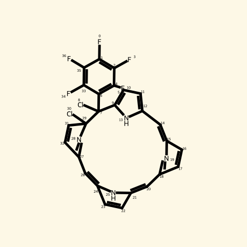 Fc1c(F)c(F)c(C2(Cl)c3ccc([nH]3)C=C3C=CC(=N3)C=c3ccc([nH]3)=CC3=NC2(Cl)C=C3)c(F)c1F